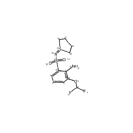 Nc1c(OC(F)F)cccc1S(=O)(=O)N=S1CCCC1